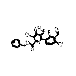 Nc1c(F)c(-c2ccc(Cl)c(C=O)c2F)nc(C(=O)OCc2ccccc2)c1Cl